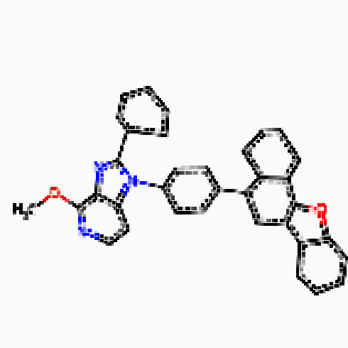 COc1nccc2c1nc(-c1ccccc1)n2-c1ccc(-c2cc3c4ccccc4oc3c3ccccc23)cc1